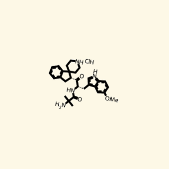 COc1ccc2[nH]cc(C[C@H](NC(=O)C(C)(C)N)C(=O)[C@@H]3Cc4ccccc4C34CCNCC4)c2c1.Cl